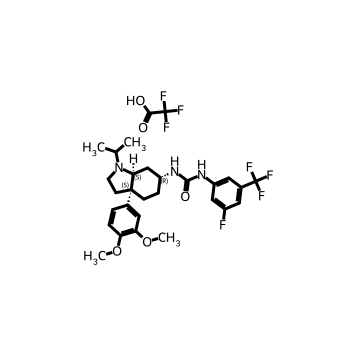 COc1ccc([C@@]23CC[C@@H](NC(=O)Nc4cc(F)cc(C(F)(F)F)c4)C[C@@H]2N(C(C)C)CC3)cc1OC.O=C(O)C(F)(F)F